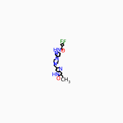 CCc1cc2ncc(CN3CCN(c4ccc(NC(=O)C5CC(F)(F)C5)nc4)CC3)cc2[nH]c1=O